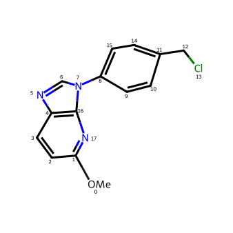 COc1ccc2ncn(-c3ccc(CCl)cc3)c2n1